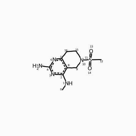 CNc1nc(N)nc2c1CN(S(C)(=O)=O)CC2